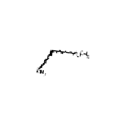 CCCCCCCCC/C=C\CCCCCCCCOC